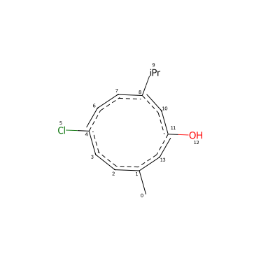 Cc1ccc(Cl)ccc(C(C)C)cc(O)c1